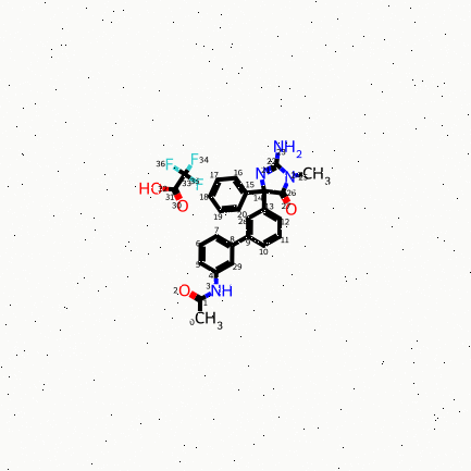 CC(=O)Nc1cccc(-c2cccc(C3(c4ccccc4)N=C(N)N(C)C3=O)c2)c1.O=C(O)C(F)(F)F